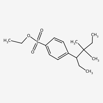 CCOS(=O)(=O)c1ccc(C(CC)C(C)(C)CC)cc1